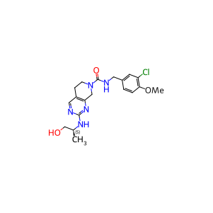 COc1ccc(CNC(=O)N2CCc3cnc(N[C@@H](C)CO)nc3C2)cc1Cl